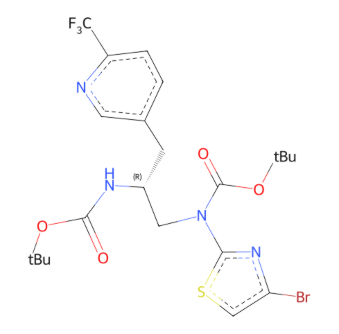 CC(C)(C)OC(=O)N[C@H](Cc1ccc(C(F)(F)F)nc1)CN(C(=O)OC(C)(C)C)c1nc(Br)cs1